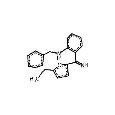 CCc1ccc(C(=N)c2ccccc2NCc2ccccc2)o1